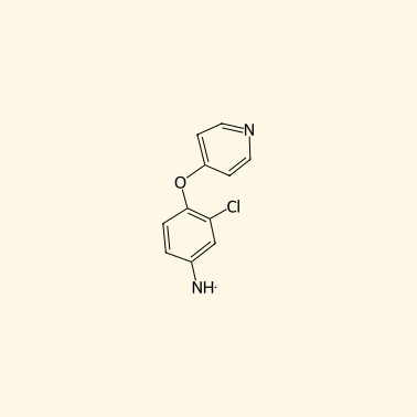 [NH]c1ccc(Oc2ccncc2)c(Cl)c1